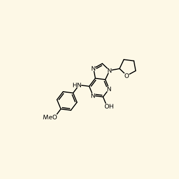 COc1ccc(Nc2nc(O)nc3c2ncn3C2CCCO2)cc1